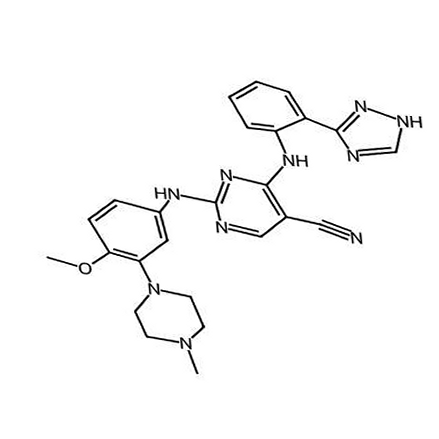 COc1ccc(Nc2ncc(C#N)c(Nc3ccccc3-c3nc[nH]n3)n2)cc1N1CCN(C)CC1